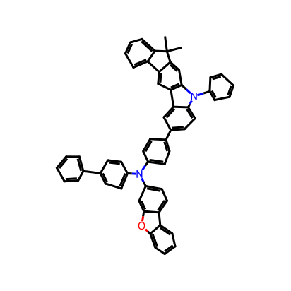 CC1(C)c2ccccc2-c2cc3c4cc(-c5ccc(N(c6ccc(-c7ccccc7)cc6)c6ccc7c(c6)oc6ccccc67)cc5)ccc4n(-c4ccccc4)c3cc21